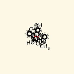 CCc1oc2ccccc2c1-c1c(C(=O)c2ccc(O)c(Cl)c2-c2c(CC)oc3ccccc23)ccc(O)c1Cl